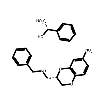 O=C(O)[C@@H](O)c1ccccc1.O=[N+]([O-])c1ccc2c(c1)O[C@@H](CNCc1ccccc1)CO2